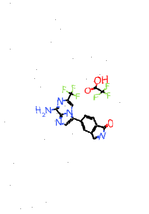 Nc1nc(C(F)(F)F)cn2c(-c3ccc4c(c3)C=NC4=O)cnc12.O=C(O)C(F)(F)F